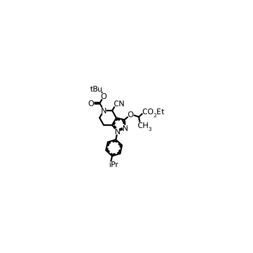 CCOC(=O)C(C)Oc1nn(-c2ccc(C(C)C)cc2)c2c1C(C#N)N(C(=O)OC(C)(C)C)CC2